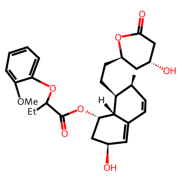 CCC(Oc1ccccc1OC)C(=O)O[C@H]1C[C@H](O)C=C2C=C[C@H](C)[C@H](CC[C@@H]3C[C@@H](O)CC(=O)O3)[C@H]21